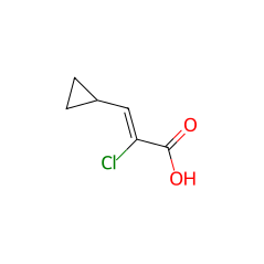 O=C(O)C(Cl)=CC1CC1